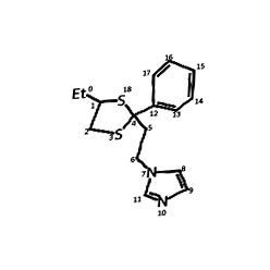 CCC1CSC(CCn2ccnc2)(c2ccccc2)S1